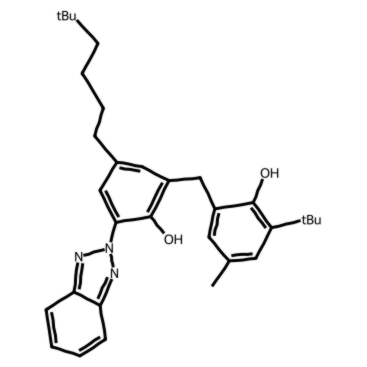 Cc1cc(Cc2cc(CCCCC(C)(C)C)cc(-n3nc4ccccc4n3)c2O)c(O)c(C(C)(C)C)c1